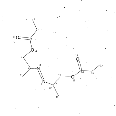 CCC(=O)OCC(C)N=NC(C)COC(=O)CC